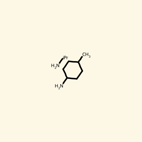 CC(C)N.CC1CCC(N)CC1